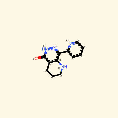 O=c1[nH]nc(-c2ccccn2)c2c1CCCN2